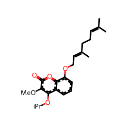 COc1c(OC(C)C)c2cccc(OC/C=C(\C)CCC=C(C)C)c2oc1=O